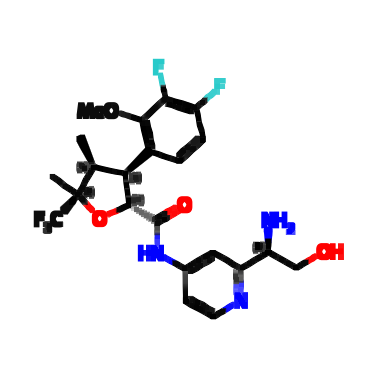 COc1c([C@H]2[C@H](C(=O)Nc3ccnc([C@@H](N)CO)c3)O[C@@](C)(C(F)(F)F)[C@H]2C)ccc(F)c1F